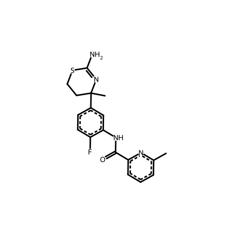 Cc1cccc(C(=O)Nc2cc(C3(C)CCSC(N)=N3)ccc2F)n1